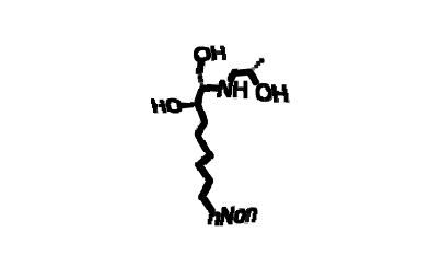 CCCCCCCCCCCCCCC[C@@H](O)[C@H](CO)NC[C@H](C)O